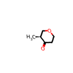 C[C@H]1COCCC1=O